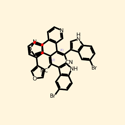 N#C/C(=C(/C(=C(\C#N)c1c[nH]c2ccc(Br)cc12)c1cnccc1-c1ccoc1)c1cnccc1-c1ccoc1)c1c[nH]c2ccc(Br)cc12